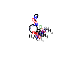 CN(C)P(=O)(Oc1cc(OP(=O)(N(C)C)N(C)C)c2c(c1Cl)CC(=N/OCC(=O)N1CCCCC1)/C=C/CC/C=C/CCOC2=O)N(C)C